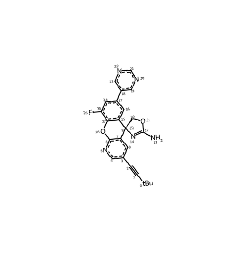 CC(C)(C)C#Cc1cnc2c(c1)[C@]1(COC(N)=N1)c1cc(-c3cncnc3)cc(F)c1O2